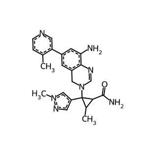 Cc1ccncc1-c1cc(N)c2c(c1)CN(C1(c3cnn(C)c3)C(C)C1C(N)=O)C=N2